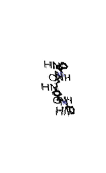 O=C(CCCNc1ccc(C(=O)N/N=C/c2c[nH]c3ccccc23)cc1)N/N=C/c1c[nH]c2ccccc12